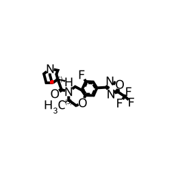 C[C@H]1COc2cc(-c3noc(C(F)(F)F)n3)cc(F)c2CN1C(=O)[C@H]1CCN2CCC1CC2